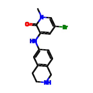 Cn1cc(Br)cc(Nc2ccc3c(c2)CCNC3)c1=O